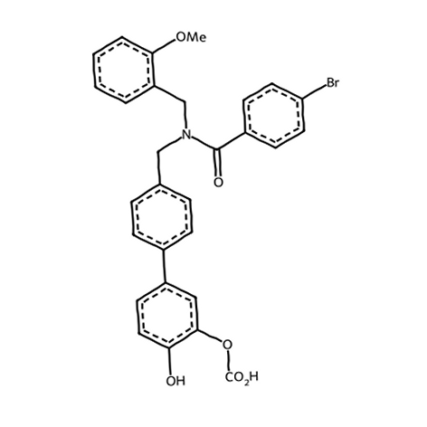 COc1ccccc1CN(Cc1ccc(-c2ccc(O)c(OC(=O)O)c2)cc1)C(=O)c1ccc(Br)cc1